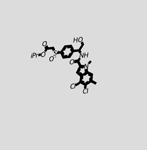 Cc1cc2c(cc(C(=O)NC(CO)c3ccc([S+]([O-])CC(=O)OC(C)C)cc3)n2C)c(Cl)c1Cl